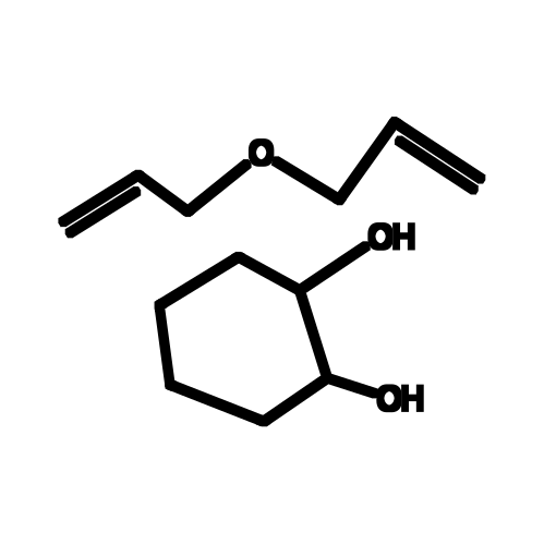 C=CCOCC=C.OC1CCCCC1O